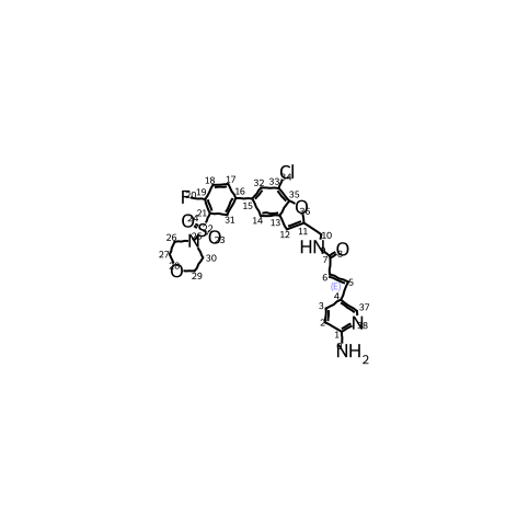 Nc1ccc(/C=C/C(=O)NCc2cc3cc(-c4ccc(F)c(S(=O)(=O)N5CCOCC5)c4)cc(Cl)c3o2)cn1